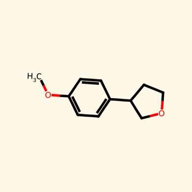 COc1ccc(C2CCOC2)cc1